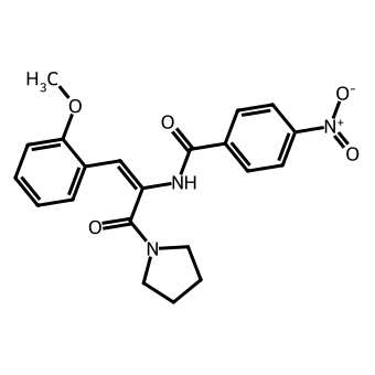 COc1ccccc1/C=C(/NC(=O)c1ccc([N+](=O)[O-])cc1)C(=O)N1CCCC1